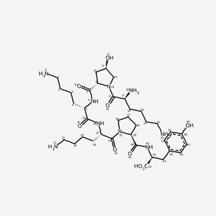 NCCCC[C@H](NC(=O)[C@@H]1C[C@@H](O)CN1C(=O)[C@@H](N)CCCCN)C(=O)N[C@@H](CCCCN)C(=O)N1CCC[C@H]1C(=O)N[C@@H](Cc1ccc(O)cc1)C(=O)O